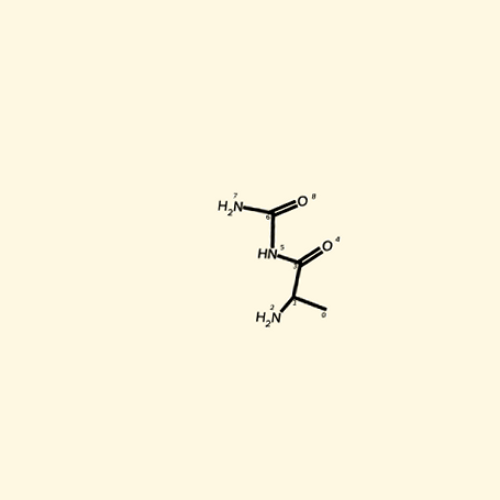 CC(N)C(=O)NC(N)=O